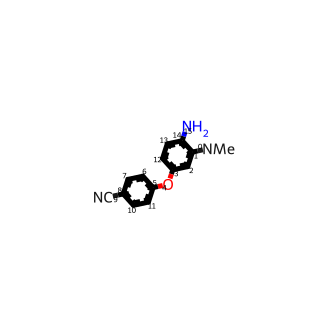 CNc1cc(Oc2ccc(C#N)cc2)ccc1N